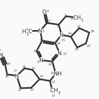 CCC1C(=O)N(C)c2cnc(NC(C)C3CCN(CC#N)CC3)nc2N1C1CCCC1